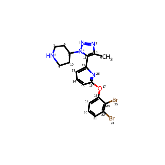 Cc1nnn(C2CCNCC2)c1-c1cccc(Oc2cccc(Br)c2Br)n1